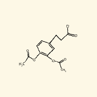 CC(=O)Oc1ccc(CCC(=O)Cl)cc1OC(C)=O